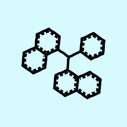 c1ccc([C](c2cccc3ccccc23)c2cccc3ccccc23)cc1